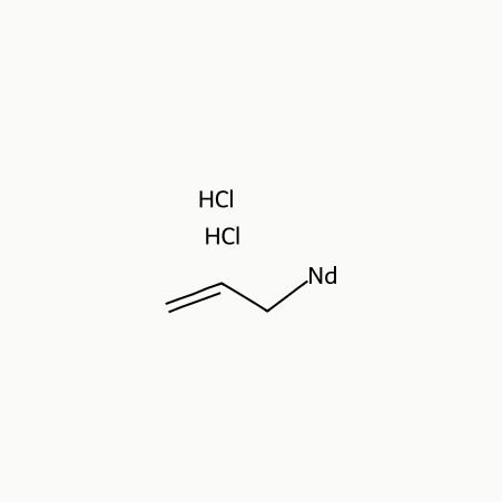 C=C[CH2][Nd].Cl.Cl